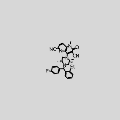 CCc1ccccc1C(c1ccc(F)cc1)N1C[C@H](C)N(c2c(C#N)c(=O)n(C)c3ccc(C#N)nc23)C[C@H]1C